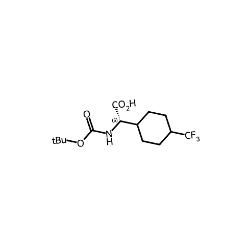 CC(C)(C)OC(=O)N[C@H](C(=O)O)C1CCC(C(F)(F)F)CC1